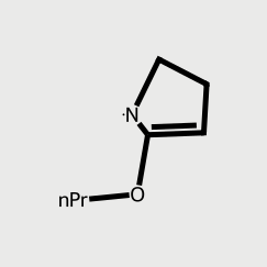 CCCOC1=CCC[N]1